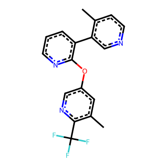 Cc1ccncc1-c1cccnc1Oc1cnc(C(F)(F)F)c(C)c1